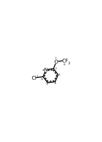 FC(F)(F)Oc1cc[c]c(Cl)n1